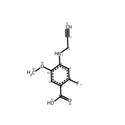 C#CCNc1cc(F)c(C(=O)O)cc1OC